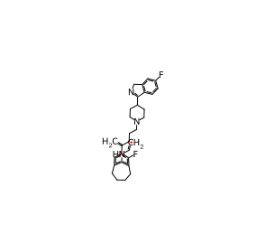 C=CNc1c2cc(C(=C)CCCN3CCC(C4=NCc5cc(F)ccc54)CC3)c(F)c1CCCC2